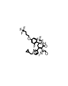 NN(C=O)C1=C(c2ccn(CC3CC3)n2)C[C@](c2ccc(OCCCC(F)(F)F)cc2F)(C(F)(F)F)NC1=O